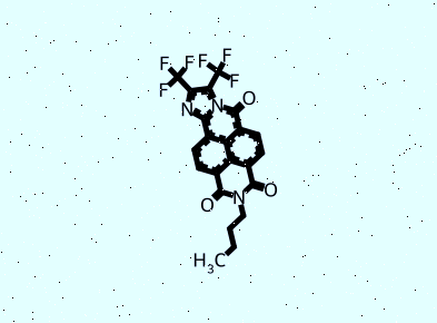 CCCCN1C(=O)c2ccc3c(=O)n4c(C(F)(F)F)c(C(F)(F)F)nc4c4ccc(c2c34)C1=O